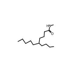 CCCCCC(CCCC)CCCC(=O)NC